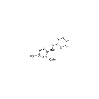 COc1cc(C)ccc1NCC1CCCCC1